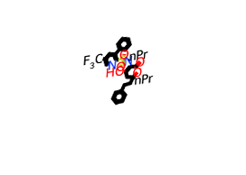 CCCN(C1=C(O)CC(CCC)(CCc2ccccc2)OC1=O)S(=O)(=O)c1ncc(C(F)(F)F)cc1-c1ccccc1